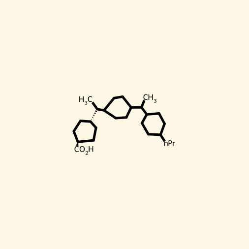 CCCC1CCC(C(C)C2CCC(C(C)[C@H]3CC[C@H](C(=O)O)CC3)CC2)CC1